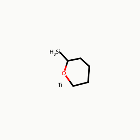 [SiH3]C1CCCCO1.[Ti]